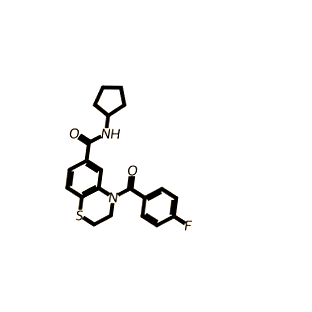 O=C(NC1CCCC1)c1ccc2c(c1)N(C(=O)c1ccc(F)cc1)CCS2